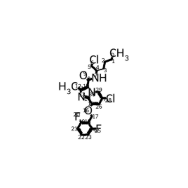 CCCC[C@H](CCl)NC(=O)c1c(C)nc2c(OCc3c(F)cccc3F)cc(Cl)cn12